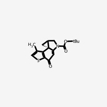 Cc1csc2c1[C@@]13CC1CN(C(=O)OC(C)(C)C)C3=CC2=O